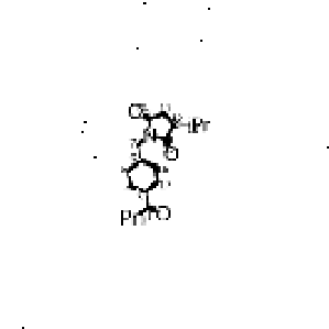 CC(C)C(=O)[C@H]1CC[C@@H](CN2C(=O)C[C@H](C(C)C)C2=O)CC1